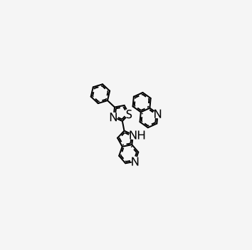 c1ccc(-c2csc(-c3cc4ccncc4[nH]3)n2)cc1.c1ccc2ncccc2c1